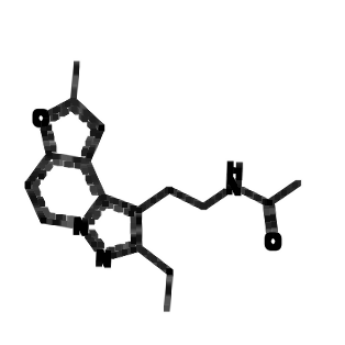 CCc1nn2ccc3oc(C)cc3c2c1CCNC(C)=O